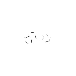 Clc1cc(Oc2nccc3ccccc23)ncn1